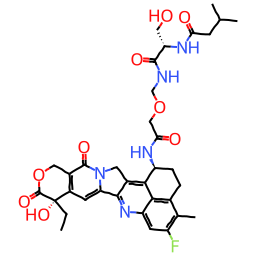 CC[C@@]1(O)C(=O)OCc2c1cc1n(c2=O)Cc2c-1nc1cc(F)c(C)c3c1c2[C@@H](NC(=O)COCNC(=O)[C@H](CO)NC(=O)CC(C)C)CC3